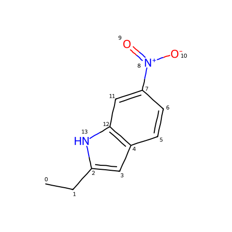 CCc1cc2ccc([N+](=O)[O-])cc2[nH]1